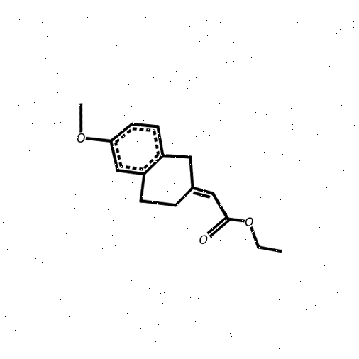 CCOC(=O)C=C1CCc2cc(OC)ccc2C1